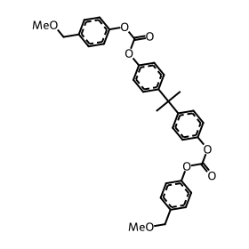 COCc1ccc(OC(=O)Oc2ccc(C(C)(C)c3ccc(OC(=O)Oc4ccc(COC)cc4)cc3)cc2)cc1